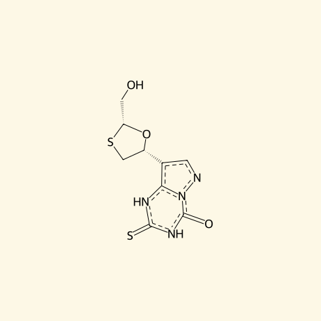 O=c1[nH]c(=S)[nH]c2c([C@@H]3CS[C@H](CO)O3)cnn12